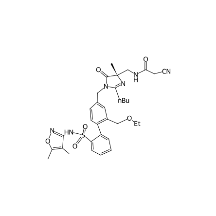 CCCCC1=N[C@@](C)(CNC(=O)CC#N)C(=O)N1Cc1ccc(-c2ccccc2S(=O)(=O)Nc2noc(C)c2C)c(COCC)c1